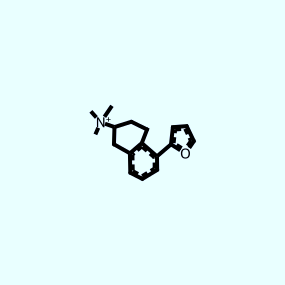 C[N+](C)(C)C1CCc2c(cccc2-c2ccco2)C1